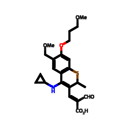 COCCCOc1cc2c(cc1COC)C(NC1CC1)=C(/C=C(\C=O)C(=O)O)C(C)S2